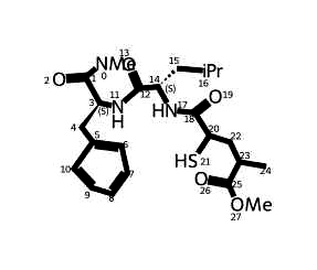 CNC(=O)[C@H](Cc1ccccc1)NC(=O)[C@H](CC(C)C)NC(=O)C(S)CC(C)C(=O)OC